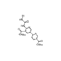 CCNC(=O)Nc1ncc(-c2ccc(C(=O)OC)cn2)cc1C(=O)OC